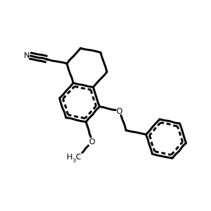 COc1ccc2c(c1OCc1ccccc1)CCCC2C#N